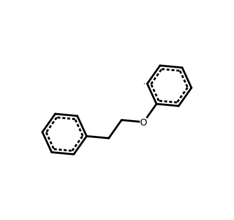 [c]1ccccc1OCCc1ccccc1